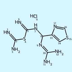 Cl.N=C(N)SC(=N)NC(N=C(N)N)c1cscn1